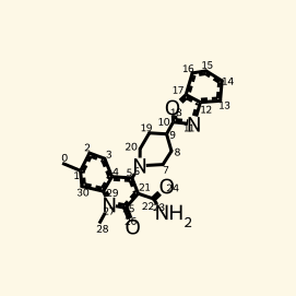 Cc1ccc2c(N3CCC(c4nc5ccccc5o4)CC3)c(C(N)=O)c(=O)n(C)c2c1